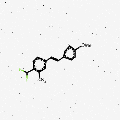 COc1ccc(/C=C/c2ccc(C(F)F)c(C)c2)cc1